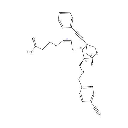 N#Cc1ccc(COC[C@@H]2[C@@H]3CC(C#Cc4ccccc4)(CO3)[C@H]2C/C=C\CCCC(=O)O)cc1